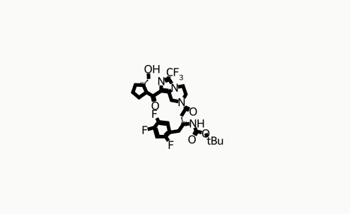 CC(C)(C)OC(=O)N[C@@H](CC(=O)N1CCn2c(C(F)(F)F)nc(C(=O)C3CCC[C@@H]3CO)c2C1)Cc1cc(F)c(F)cc1F